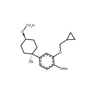 COc1ccc([C@]2(C#N)CC[C@H](OC(=O)O)CC2)cc1OCC1CC1